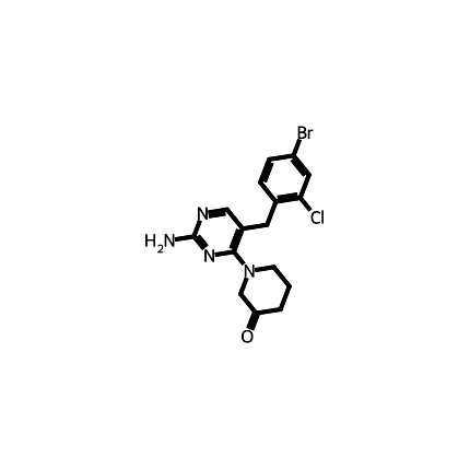 Nc1ncc(Cc2ccc(Br)cc2Cl)c(N2CCCC(=O)C2)n1